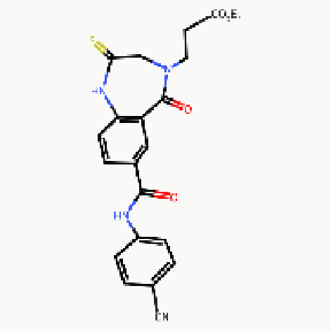 CCOC(=O)CCN1CC(=S)Nc2ccc(C(=O)Nc3ccc(C#N)cc3)cc2C1=O